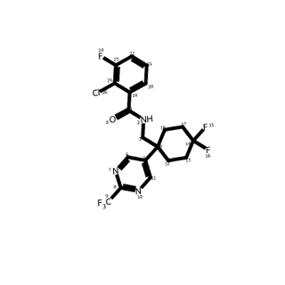 O=C(NCC1(c2cnc(C(F)(F)F)nc2)CCC(F)(F)CC1)c1cccc(F)c1Cl